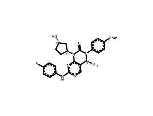 COc1ccc(N2C(=O)N([C@H]3CC[C@H](O)C3)c3nc(Nc4ccc(F)cc4)ncc3[C@@H]2C)cc1